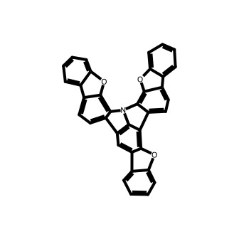 c1ccc2c(c1)oc1c2cc2c3ccc4c5ccccc5oc4c3n3c4c(ccc5c6ccccc6oc54)c1c23